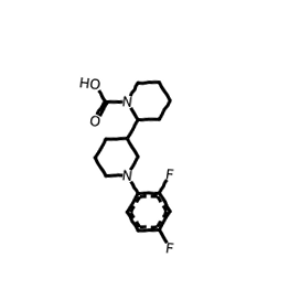 O=C(O)N1CCCCC1C1CCCN(c2ccc(F)cc2F)C1